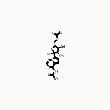 CCCC(=O)Nc1ncnn2c([C@]3(C#N)O[C@H](COC(=O)CC)[C@@H](O)[C@H]3O)ccc12